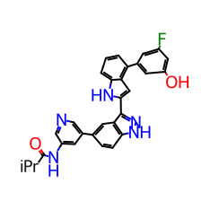 CC(C)C(=O)Nc1cncc(-c2ccc3[nH]nc(-c4cc5c(-c6cc(O)cc(F)c6)cccc5[nH]4)c3c2)c1